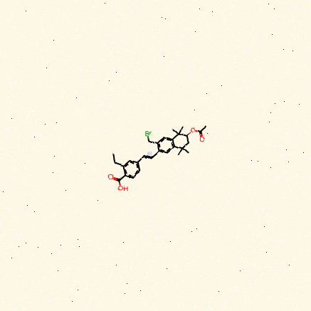 CCc1cc(/C=C/c2cc3c(cc2CBr)C(C)(C)C(OC(C)=O)CC3(C)C)ccc1C(=O)O